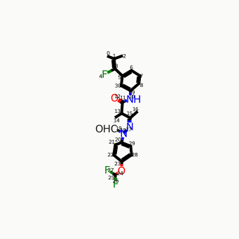 CC(C)=C(F)c1cccc(NC(=O)C(C)/C(C)=N\N(C=O)c2ccc(OC(F)F)cc2)c1